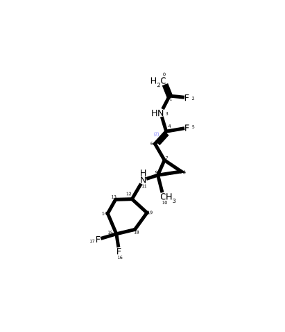 C=C(F)N/C(F)=C/C1CC1(C)NC1CCC(F)(F)CC1